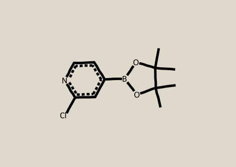 CC1(C)OB(c2ccnc(Cl)c2)OC1(C)C